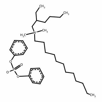 CCCCCCCCCCCC[N+](C)(C)CC(CC)CCCC.O=P([O-])(Oc1ccccc1)Oc1ccccc1